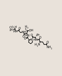 CC(C)[C@H](NC(=O)CNC(=O)[C@@H](NC(=O)[C@@H]1CCCN1C(=O)[C@@H](NC(=O)[C@@H](N)CCC(N)=O)C(C)C)[C@@H](C)O)C(=O)O